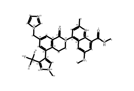 CNC(=O)c1cc(OC)cc2c(N3CCc4c(cc(Cn5ccnc5)cc4-c4cn(C)nc4C(F)(F)F)C3=O)cc(C)nc12